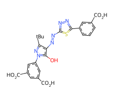 CC(C)(C)c1nn(-c2cc(C(=O)O)cc(C(=O)O)c2)c(O)c1/N=N/c1nnc(-c2cccc(C(=O)O)c2)s1